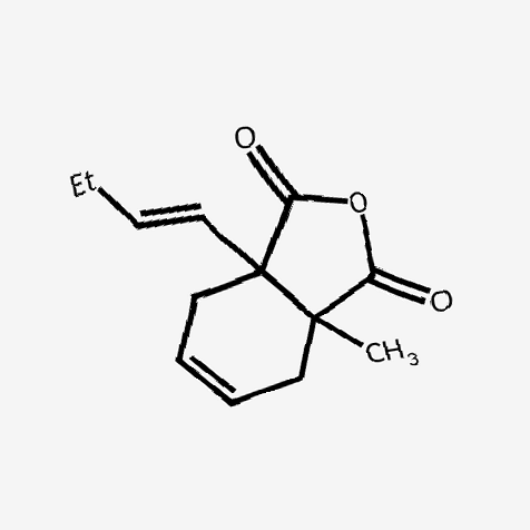 CCC=CC12CC=CCC1(C)C(=O)OC2=O